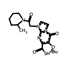 CCCCOc1c(C(=O)S)nc2n(CC(=O)N3CCCCC3C)ccn2c1=O